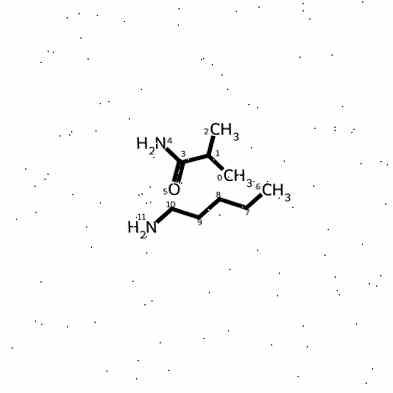 CC(C)C(N)=O.CCCCCN